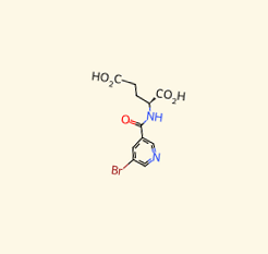 O=C(O)CC[C@H](NC(=O)c1cncc(Br)c1)C(=O)O